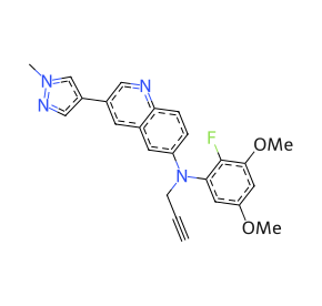 C#CCN(c1ccc2ncc(-c3cnn(C)c3)cc2c1)c1cc(OC)cc(OC)c1F